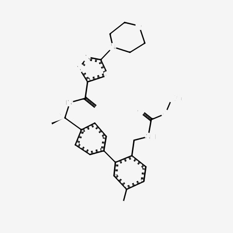 C[C@@H](NC(=O)c1nnc(N2CCOCC2)o1)c1ccc(-c2cc(C(F)(F)F)ccc2CNC(=O)OC(C)(C)C)cc1